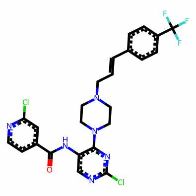 O=C(Nc1cnc(Cl)nc1N1CCN(C/C=C/c2ccc(C(F)(F)F)cc2)CC1)c1ccnc(Cl)c1